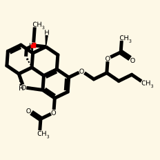 CCCC(COc1cc(OC(C)=O)c2c3c1C[C@@H]1[C@@H]4C=CC[C@H](O2)[C@]34CCN1C)OC(C)=O